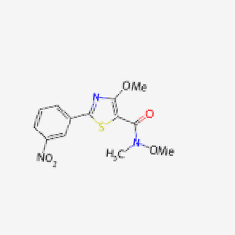 COc1nc(-c2cccc([N+](=O)[O-])c2)sc1C(=O)N(C)OC